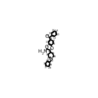 NC(=O)C(Oc1ccc(C(=O)c2ccccc2)cc1)C1CCN(Cc2ccccc2)CC1